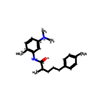 CC(CCCc1ccc(C(=O)O)cc1)C(=O)Nc1cc(N(C)C)ccc1C(=O)O